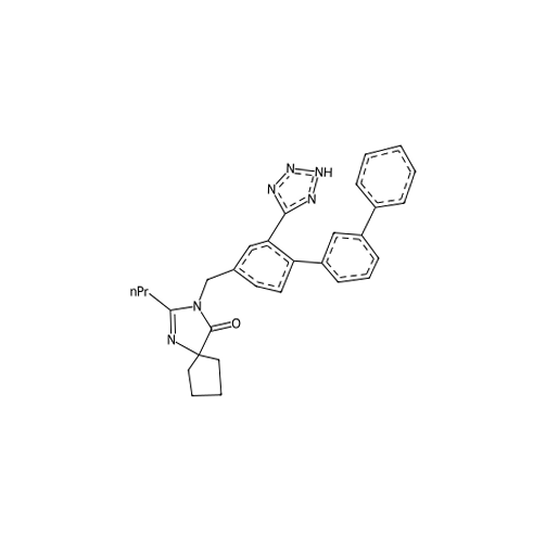 CCCC1=NC2(CCCC2)C(=O)N1Cc1ccc(-c2cccc(-c3ccccc3)c2)c(-c2nn[nH]n2)c1